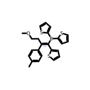 COCC/C(=C(\B(c1cccs1)c1cccs1)c1cccs1)c1ccc(C)cc1